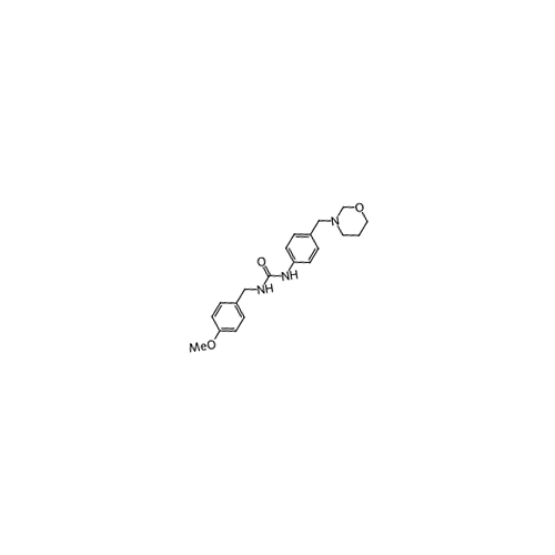 COc1ccc(CNC(=O)Nc2ccc(CN3CCCOC3)cc2)cc1